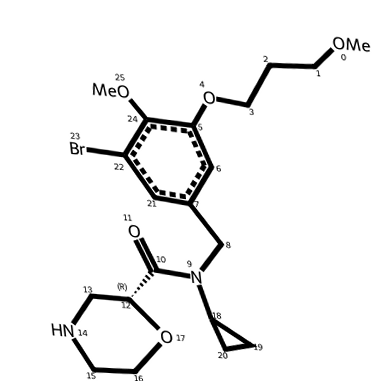 COCCCOc1cc(CN(C(=O)[C@H]2CNCCO2)C2CC2)cc(Br)c1OC